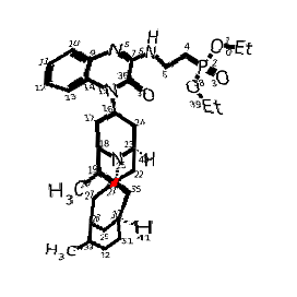 CCOP(=O)(CCNc1nc2ccccc2n([C@@H]2CC3C(C)CC[C@H](C2)N3[C@H]2CC3C[C@H](CCC3C)C2)c1=O)OCC